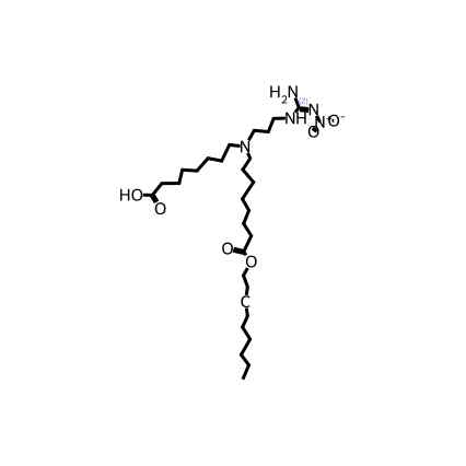 CCCCCCCCCOC(=O)CCCCCCCN(CCCCCCCC(=O)O)CCCN/C(N)=N\[N+](=O)[O-]